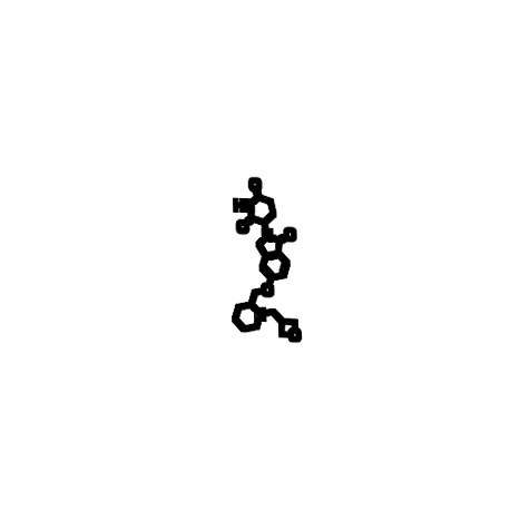 O=C1CCC(N2Cc3cc(OCC4CCCCN4CC4COC4)ccc3C2=O)C(=O)N1